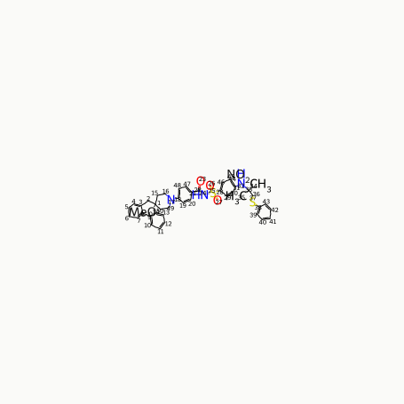 COC1(Cc2ccccc2-c2ccccc2)CCN(c2ccc(C(=O)NS(=O)(=O)c3ccc(NC(C)(C)CSc4ccccc4)c([N+](=O)[O-])c3)cc2)CC1